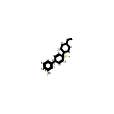 CCC1CCC(C2(F)C=CC(c3cccc(F)c3)C=C2)CC1